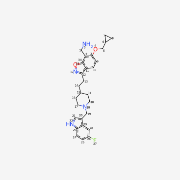 NCc1c(OCC2CC2)ccc2c(CCC3CCN(Cc4c[nH]c5ccc(F)cc45)CC3)noc12